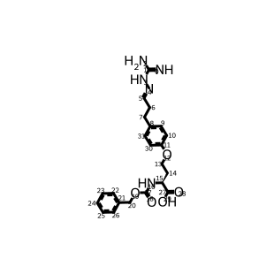 N=C(N)NN=CCCc1ccc(OCC[C@H](NC(=O)OCc2ccccc2)C(=O)O)cc1